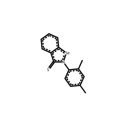 Cc1ccc(-n2[se]c3ccccc3c2=S)c(C)c1